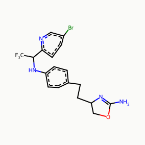 NC1=NC(CCc2ccc(NC(c3ccc(Br)cn3)C(F)(F)F)cc2)CO1